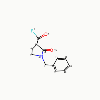 O=C(F)C1CCN(Cc2ccccc2)C1=O